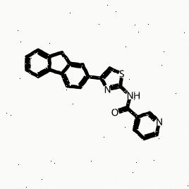 O=C(Nc1nc(-c2ccc3c(c2)Cc2ccccc2-3)cs1)c1cccnc1